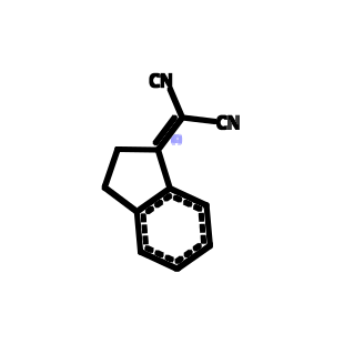 [C-]#[N+]/C(C#N)=C1\CCc2ccccc21